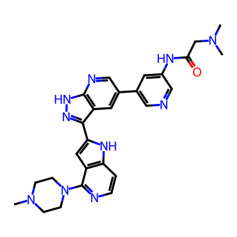 CN(C)CC(=O)Nc1cncc(-c2cnc3[nH]nc(-c4cc5c(N6CCN(C)CC6)nccc5[nH]4)c3c2)c1